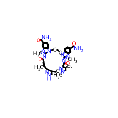 CCC1CN(C)N2CCC3CNN=C3C/C(C)=C\C(=O)/N=C3/N(C)c4cc(C(N)=O)ccc4N3CCCCN3/C(=N/C(=O)C12)N(C)c1cc(C(N)=O)ccc13